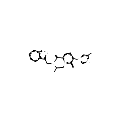 Cc1cn(-c2ccc3n(c2=O)CC(C)N(Cc2nsc4ccccc24)C3=O)cn1